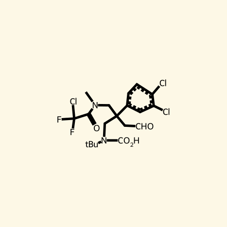 CN(CC(CC=O)(CN(C(=O)O)C(C)(C)C)c1ccc(Cl)c(Cl)c1)C(=O)C(F)(F)Cl